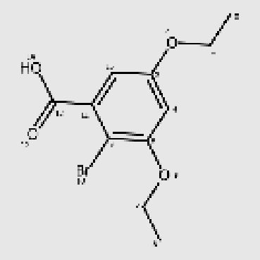 CCOc1cc(OCC)c(Br)c(C(=O)O)c1